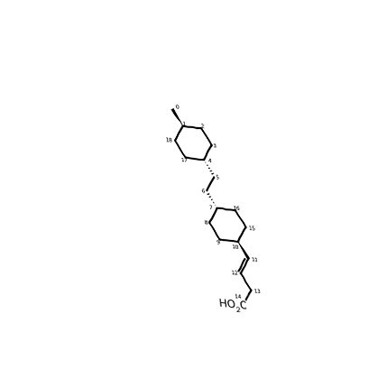 C[C@H]1CC[C@H](CC[C@H]2CC[C@H](C=CCC(=O)O)CC2)CC1